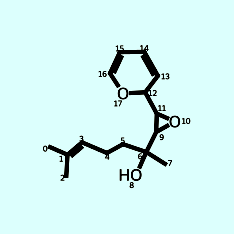 CC(C)=CCCC(C)(O)C1OC1C1C=CC=CO1